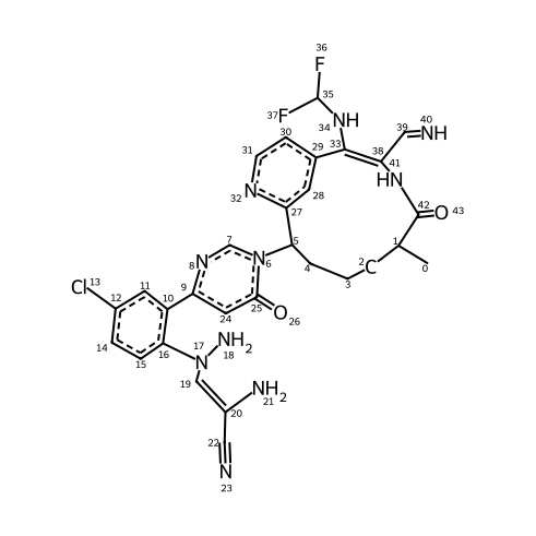 CC1CCCC(n2cnc(-c3cc(Cl)ccc3N(N)/C=C(\N)C#N)cc2=O)c2cc(ccn2)/C(NC(F)F)=C(/C=N)NC1=O